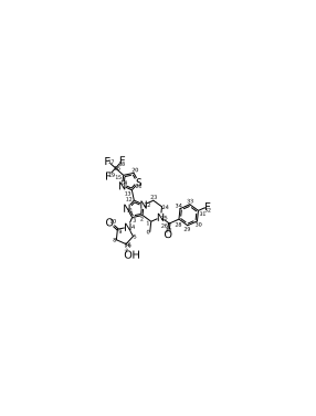 CC1c2c(N3C[C@H](O)CC3=O)nc(-c3nc(C(F)(F)F)cs3)n2CCN1C(=O)c1ccc(F)cc1